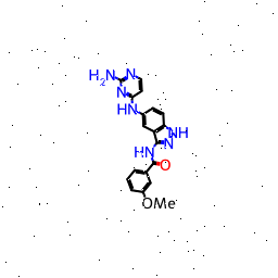 COc1cccc(C(=O)Nc2n[nH]c3ccc(Nc4ccnc(N)n4)cc23)c1